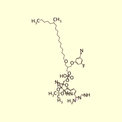 CCCCCC(C)CCCCCCCCCCCCOCC(COc1cc(F)cc(C#N)c1)COP(=O)(O)OC[C@@]1(C#N)O[C@@H](c2ccc(/C(N)=N\C=N)[nH]2)[C@@H]2OC(C)(C)O[C@@H]21